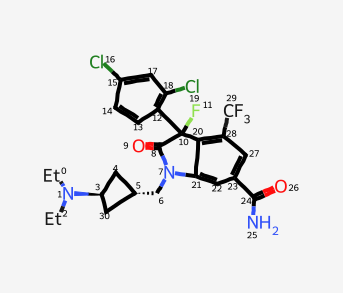 CCN(CC)[C@H]1C[C@H](CN2C(=O)C(F)(c3ccc(Cl)cc3Cl)c3c2cc(C(N)=O)cc3C(F)(F)F)C1